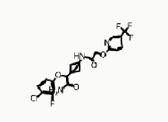 NC(=O)C(Oc1ccc(Cl)c(F)c1)C12CC(NC(=O)COc3ccc(C(F)(F)F)cn3)(C1)C2